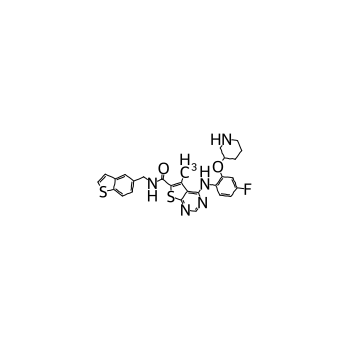 Cc1c(C(=O)NCc2ccc3sccc3c2)sc2ncnc(Nc3ccc(F)cc3OC3CCCNC3)c12